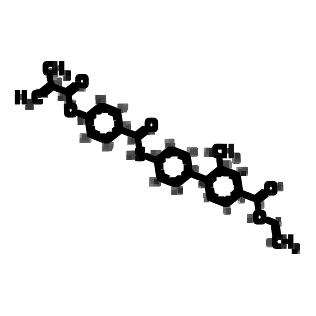 C=COC(=O)c1ccc(-c2ccc(SC(=O)c3ccc(OC(=O)C(=C)C)cc3)cc2)c(C)c1